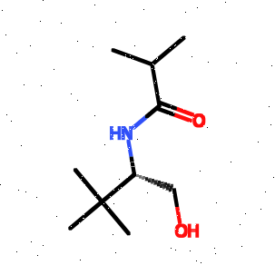 CC(C)C(=O)N[C@H](CO)C(C)(C)C